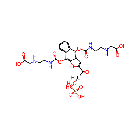 CC(=O)c1cc2c(OC(=O)NCCNCC(=O)O)c3ccccc3c(OC(=O)NCCNCC(=O)O)c2o1.O.O=S(=O)(O)O